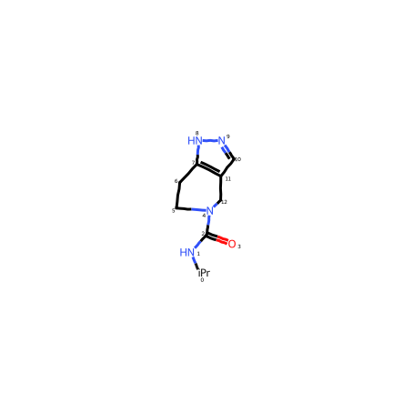 CC(C)NC(=O)N1CCc2[nH]ncc2C1